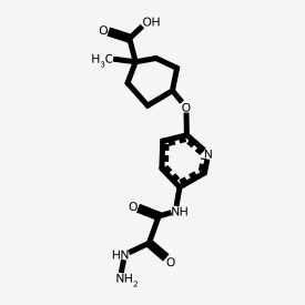 CC1(C(=O)O)CCC(Oc2ccc(NC(=O)C(=O)NN)cn2)CC1